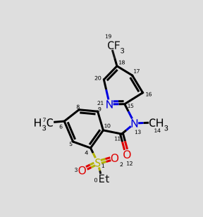 CCS(=O)(=O)c1cc(C)ccc1C(=O)N(C)c1ccc(C(F)(F)F)cn1